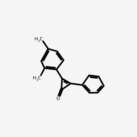 Cc1ccc(-c2c(-c3ccccc3)c2=O)c(C)c1